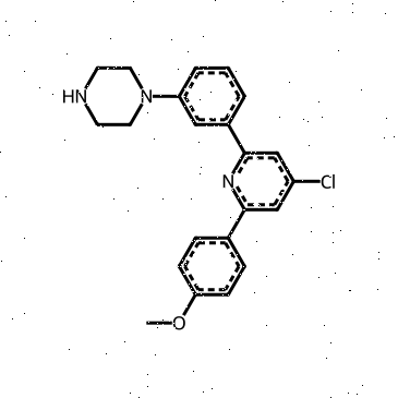 COc1ccc(-c2cc(Cl)cc(-c3cccc(N4CCNCC4)c3)n2)cc1